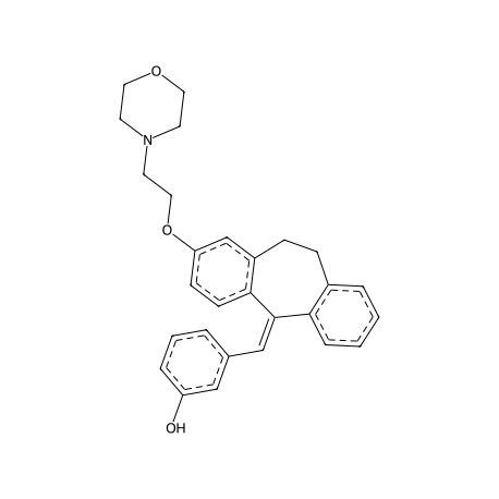 Oc1cccc(/C=C2/c3ccccc3CCc3cc(OCCN4CCOCC4)ccc32)c1